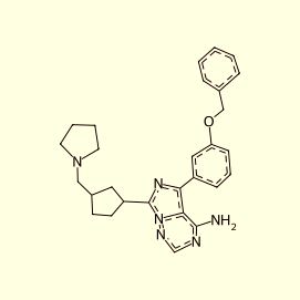 Nc1ncnn2c(C3CCC(CN4CCCC4)C3)nc(-c3cccc(OCc4ccccc4)c3)c12